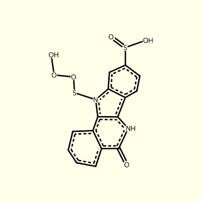 O=c1[nH]c2c3ccc(S(=O)O)cc3n(SOOO)c2c2ccccc12